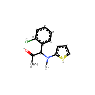 CCN(c1cccs1)C(C(=O)OC)c1ccccc1Cl